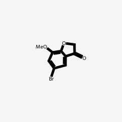 COc1cc(Br)cc2c1OCC2=O